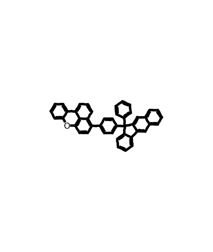 c1ccc(C2(c3ccc(-c4ccc5c6c(cccc46)-c4ccccc4O5)cc3)c3ccccc3-c3cc4ccccc4cc32)cc1